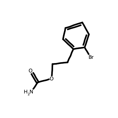 NC(=O)OCCc1ccccc1Br